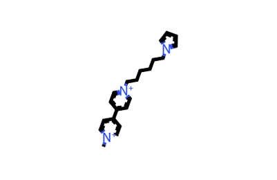 C[n+]1ccc(-c2cc[n+](CCCCCCn3cccc3)cc2)cc1